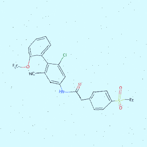 CCS(=O)(=O)c1ccc(CC(=O)Nc2cc(Cl)c(-c3ccccc3OC(F)(F)F)c(C#N)c2)cc1